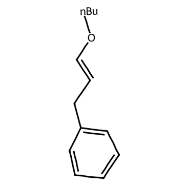 CCCCOC=CCc1ccccc1